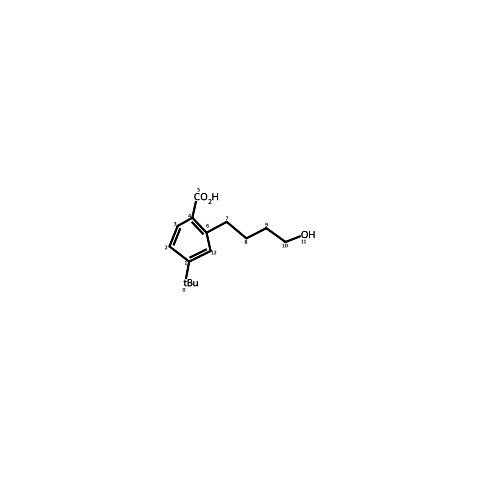 CC(C)(C)c1ccc(C(=O)O)c(CCCCO)c1